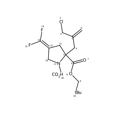 C=C(CCl)CC1(C(=O)OCC(C)(C)C)CC(=C(F)F)CN1C(=O)O